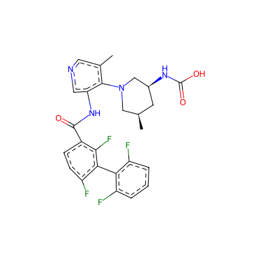 Cc1cncc(NC(=O)c2ccc(F)c(-c3c(F)cccc3F)c2F)c1N1C[C@H](C)C[C@H](NC(=O)O)C1